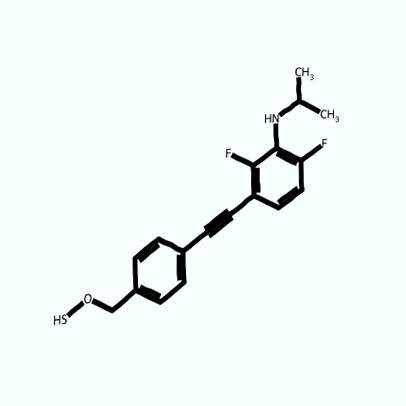 CC(C)Nc1c(F)ccc(C#Cc2ccc(COS)cc2)c1F